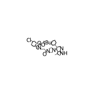 Cc1c[nH]c2ncc(-c3ccccc3)c(N3CCN(C(=O)CCN(Cc4ccc(Cl)cc4)C(=O)OC(C)(C)C)CC3)c12